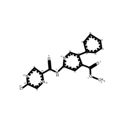 COC(=O)c1cc(NC(=O)c2cnc(Cl)cn2)ncc1-c1ccccc1